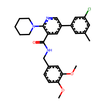 COc1ccc(CNC(=O)c2cc(-c3cc(C)cc(Cl)c3)cnc2N2CCCCC2)cc1OC